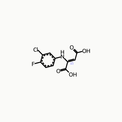 O=C(O)/C=C(\Nc1ccc(F)c(Cl)c1)C(=O)O